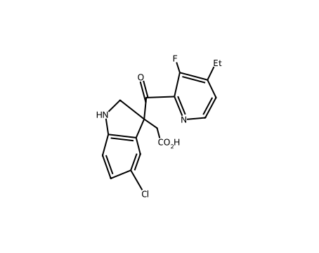 CCc1ccnc(C(=O)C2(CC(=O)O)CNc3ccc(Cl)cc32)c1F